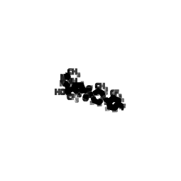 Cc1nnc(C(O)(c2ccc(S(=O)(=O)N3CCN(c4ccc(F)cc4C(F)(F)F)C[C@H]3C)s2)C(F)(F)F)[nH]1